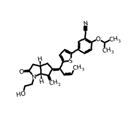 C=C1/C(=C(\C=C/C)c2ccc(-c3ccc(OC(C)C)c(C#N)c3)s2)C[C@H]2CC(=O)N(CCO)[C@@H]12